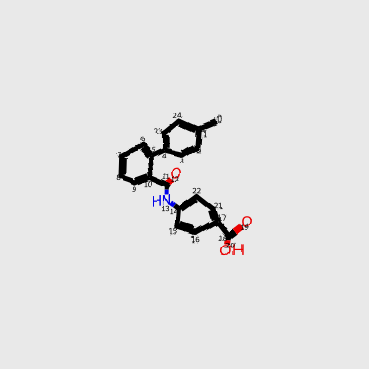 Cc1ccc(-c2ccccc2C(=O)Nc2ccc(C(=O)O)cc2)cc1